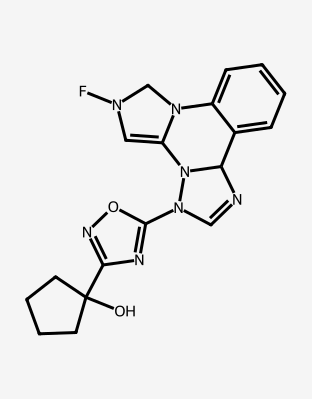 OC1(c2noc(N3C=NC4c5ccccc5N5CN(F)C=C5N43)n2)CCCC1